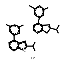 Cc1cc(C)cc(-c2cccc3[cH-]c(C(C)C)cc23)c1.Cc1cc(C)cc(-c2cccc3c2C=C(C(C)C)C3)c1.[Li+]